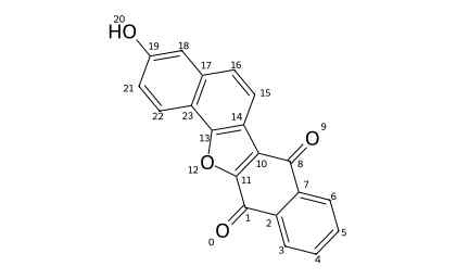 O=C1c2ccccc2C(=O)c2c1oc1c2ccc2cc(O)ccc21